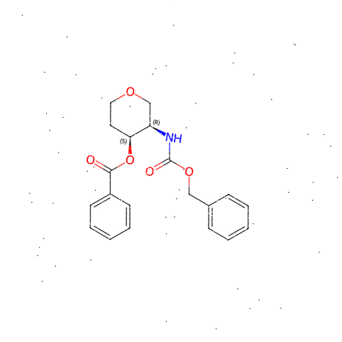 O=C(N[C@@H]1COCC[C@@H]1OC(=O)c1ccccc1)OCc1ccccc1